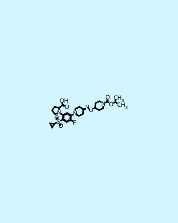 CC(C)OC(=O)N1CCC(ON=C2CCN(c3cc(N4CCCC4C(=O)O)c(S(=O)(=O)C4CC4)cc3F)CC2)CC1